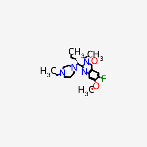 CCC[C@H](c1nc2cc(OC)c(F)cc2c(=O)n1CC)N1CCCN(CC)CC1